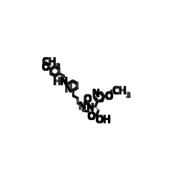 CCOc1cncc([C@H](CC(=O)O)N2CCN(CCCc3cccc(NCc4ccc(OC)cc4)n3)C2=O)c1